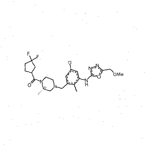 COCc1nnc(Nc2cc(Cl)cc(CN3CCN(C(=O)C4CCC(F)(F)C4)[C@@H](C)C3)c2C)o1